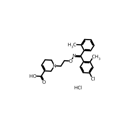 Cc1ccccc1C(=NOCCN1CCC=C(C(=O)O)C1)c1ccc(Cl)cc1C.Cl